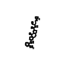 CSCCC(C=O)NC(=O)c1ccc2c(c1)C(=O)c1ccc(Nc3ccccc3N)cc1CC2